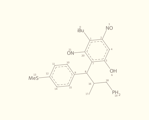 CCC(C)c1c(N=O)cc(O)c(C(c2ccc(SC)cc2)C(C)CP)c1N=O